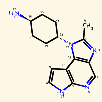 Cc1nc2cnc3[nH]ccc3c2n1[C@H]1CC[C@H](N)CC1